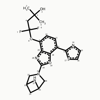 CC(C)(O)CC(F)(F)Oc1ccc(-c2nccs2)c2oc(N3CC4CC(C3)N4)nc12